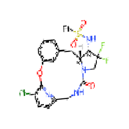 CCS(=O)(=O)N[C@H]1[C@H]2Cc3cccc(c3)Oc3nc(ccc3Cl)CNC(=O)N2CC1(F)F